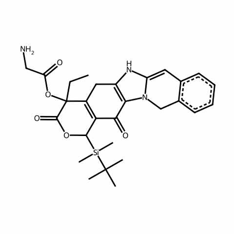 CCC1(OC(=O)CN)C(=O)OC([Si](C)(C)C(C)(C)C)C2=C1CC1=C(C2=O)N2Cc3ccccc3C=C2N1